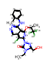 CCn1c(CO)nn(-c2nc(O[C@@H](C)C(F)(F)F)c3c(Nc4ccccc4C)nncc3c2F)c1=O